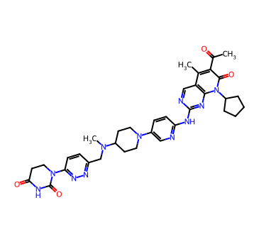 CC(=O)c1c(C)c2cnc(Nc3ccc(N4CCC(N(C)Cc5ccc(N6CCC(=O)NC6=O)nn5)CC4)cn3)nc2n(C2CCCC2)c1=O